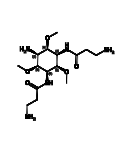 CO[C@H]1[C@@H](NC(=O)CCN)[C@@H](OC)[C@@H](N)[C@@H](OC)[C@H]1NC(=O)CCN